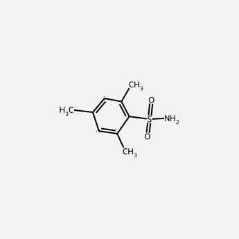 Cc1[c]c(C)c(S(N)(=O)=O)c(C)[c]1